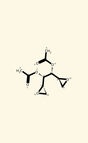 CC(=O)O[C@H]([C@H](OC(C)=O)[C@@H]1CO1)[C@@H]1CO1